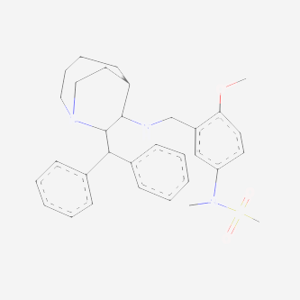 CN(c1ccc(OC(F)(F)F)c(CNC2C3CCCCN(CC3)C2C(c2ccccc2)c2ccccc2)c1)S(C)(=O)=O